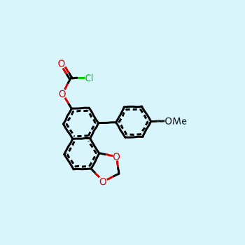 COc1ccc(-c2cc(OC(=O)Cl)cc3ccc4c(c23)OCO4)cc1